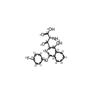 NC(C(=O)O)C(=O)c1nc(Oc2ccc(F)cc2)c2ccccc2c1O